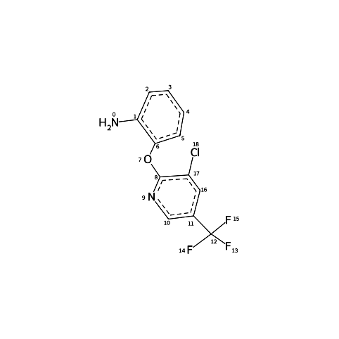 Nc1ccccc1Oc1ncc(C(F)(F)F)cc1Cl